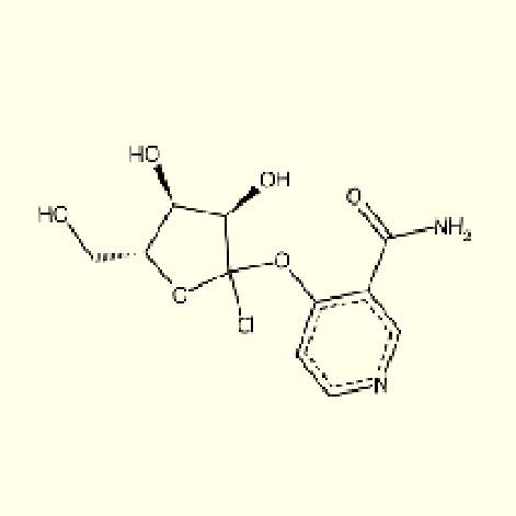 NC(=O)c1cnccc1OC1(Cl)O[C@H](CO)[C@@H](O)[C@H]1O